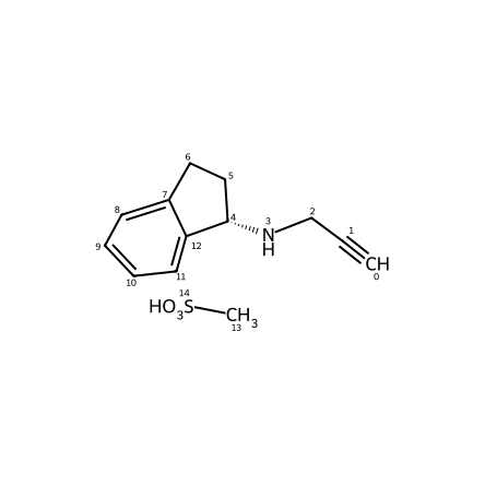 C#CCN[C@H]1CCc2ccccc21.CS(=O)(=O)O